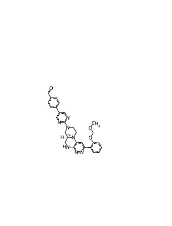 COCOc1ccccc1-c1cc2c(nn1)NC[C@H]1CN(c3ncc(-c4ccc(C=O)cc4)cn3)CCN21